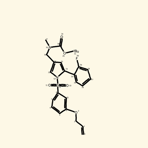 C=CCOc1cccc(S(=O)(=O)n2cc(CN(C)C(=O)OC(C)(C)C)cc2-c2ccccc2F)c1